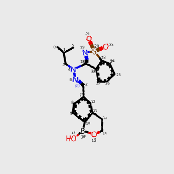 CC(C)CN(/N=C/c1ccc2c(c1)CCOB2O)C1=NS(=O)(=O)c2ccccc21